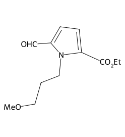 CCOC(=O)c1ccc(C=O)n1CCCOC